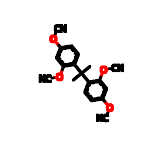 CC(C)(c1ccc(OC#N)cc1OC#N)c1ccc(OC#N)cc1OC#N